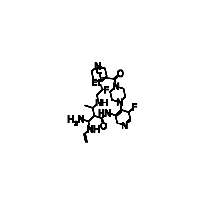 C=CNC(N)C(C(=O)NC1=C(N2CCN(C(=O)C3CN4CCC3CC4)CC2)C(F)C=NC1)C(C)NCC(F)CC